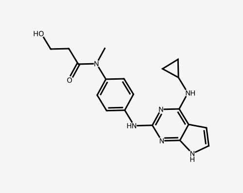 CN(C(=O)CCO)c1ccc(Nc2nc(NC3CC3)c3cc[nH]c3n2)cc1